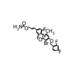 Cc1cc(OCc2ccc(F)cc2F)c(Br)c(=O)n1-c1c(F)cc(/C=C/COC(N)=O)cc1F